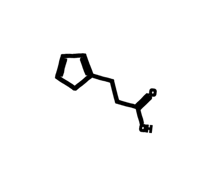 O=C(O)CCC1=CC=CC1